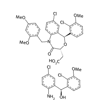 COc1ccc(CN2C(=O)[C@@H](CC(=O)O)O[C@H](c3cccc(OC)c3Cl)c3cc(Cl)ccc32)c(OC)c1.COc1cccc([C@@H](O)c2cc(Cl)ccc2N)c1Cl